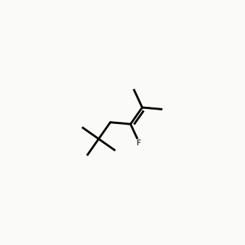 CC(C)=C(F)CC(C)(C)C